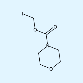 O=C(OCI)N1CCOCC1